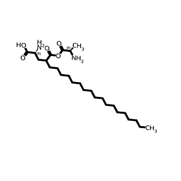 CCCCCCCCCCCCCCCCCCC(C[C@@H](N)C(=O)O)C(=O)OC(=O)[C@@H](C)N